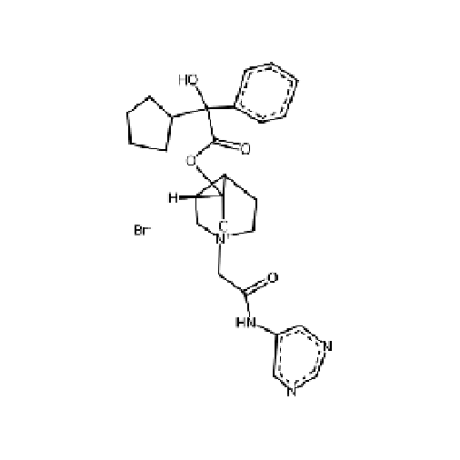 O=C(C[N+]12CCC(CC1)[C@@H](OC(=O)C(O)(c1ccccc1)C1CCCC1)C2)Nc1cncnc1.[Br-]